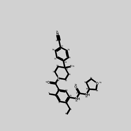 CCc1cc(C)c(C(=O)N2CCC(F)(c3ccc(C#N)cc3)CC2)cc1NC(=O)NC1CCOC1